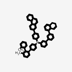 Cc1ccccc1-c1c(C)cccc1-c1ccc(N(c2ccc(-c3ccc4c(ccc5ccccc54)c3)cc2)c2cccc(-c3cccc(-c4cccc5c4C=CCC5)c3)c2)cc1